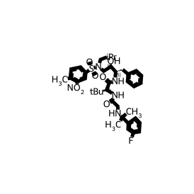 Cc1ccc(S(=O)(=O)N(CC(C)C)C[C@@H](O)[C@H](Cc2ccccc2)NC(=O)[C@@H](NC(=O)CNC(C)(C)c2cccc(F)c2)C(C)(C)C)cc1[N+](=O)[O-]